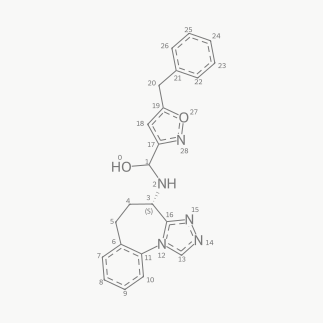 OC(N[C@H]1CCc2ccccc2-n2cnnc21)c1cc(Cc2ccccc2)on1